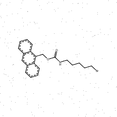 O=C(NCCCCCBr)OCc1c2ccccc2cc2ccccc12